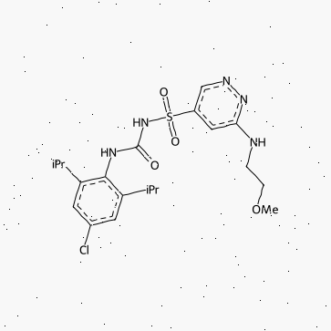 COCCNc1cc(S(=O)(=O)NC(=O)Nc2c(C(C)C)cc(Cl)cc2C(C)C)cnn1